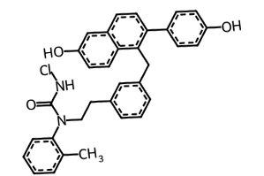 Cc1ccccc1N(CCc1cccc(Cc2c(-c3ccc(O)cc3)ccc3cc(O)ccc23)c1)C(=O)NCl